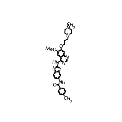 COc1cc2c(Nc3nc4ccc(NC(=O)c5ccc(C)cc5)cc4s3)ncnc2cc1OCCCN1CCN(C)CC1